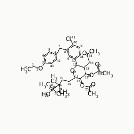 CCOc1ccc(Cc2cc(C3OC(CCC(C)(C)[Si](C)(C)O)C(OC(C)=O)C(OC(C)=O)C3CC(C)=O)ccc2Cl)cc1